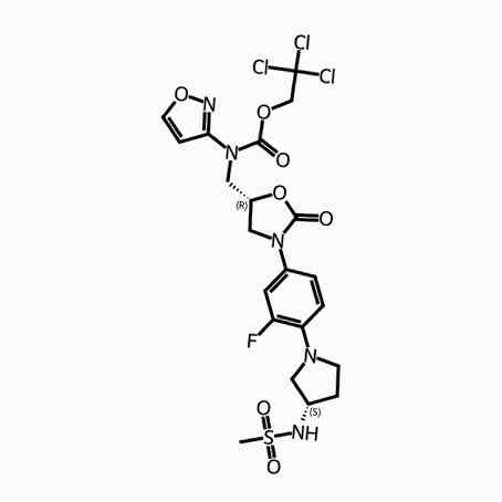 CS(=O)(=O)N[C@H]1CCN(c2ccc(N3C[C@H](CN(C(=O)OCC(Cl)(Cl)Cl)c4ccon4)OC3=O)cc2F)C1